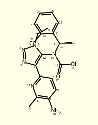 CCn1nnc(-c2ccc(N)c(C)n2)c1N(C(=O)O)[C@H](C)c1ccccc1Cl